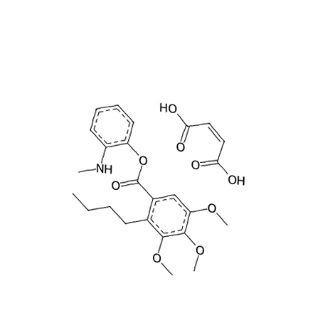 CCCCc1c(C(=O)Oc2ccccc2NC)cc(OC)c(OC)c1OC.O=C(O)/C=C\C(=O)O